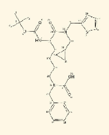 CC(C)(C)OC(=O)NC(CCCCN(Cc1ccccc1)C(=O)O)C(=O)N(Cc1cccs1)CC1CC1